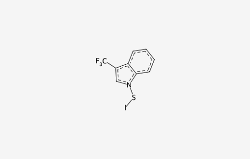 FC(F)(F)c1cn(SI)c2ccccc12